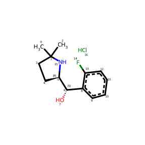 CC1(C)CC[C@H]([C@@H](O)c2ccccc2F)N1.Cl